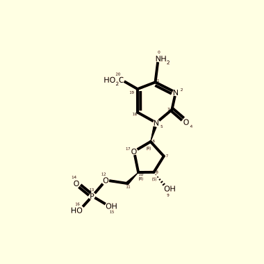 Nc1nc(=O)n([C@H]2C[C@H](O)[C@@H](COP(=O)(O)O)O2)cc1C(=O)O